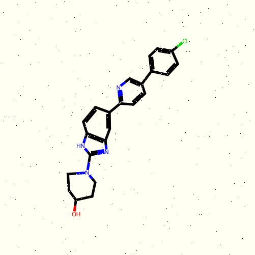 OC1CCN(c2nc3cc(-c4ccc(-c5ccc(Cl)cc5)cn4)ccc3[nH]2)CC1